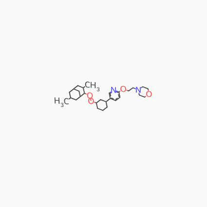 CC1CC2CC(C)C(OOC3CCCC(c4ccc(OCCN5CCOCC5)nc4)C3)C(C1)C2